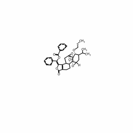 CSCO[C@@H]1C(C(C)C)C[C@@H]2O[C@]23[C@]12O[C@H]2CC1C2=C(CC[C@@]13C)C(=O)O/C2=C(/OC(=O)c1ccccc1)c1ccccc1